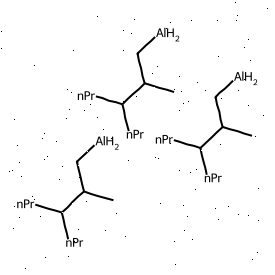 CCCC(CCC)C(C)[CH2][AlH2].CCCC(CCC)C(C)[CH2][AlH2].CCCC(CCC)C(C)[CH2][AlH2]